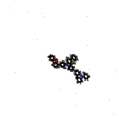 c1ccc(-n2c3ccccc3c3cc(-c4ccc5c(c4)c4c6sc7ccccc7c6ccc4n5-c4ccc(-c5cccc6c5oc5ccccc56)cc4)ccc32)cc1